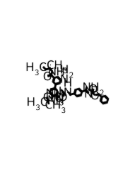 CC[C@H](C)NC(=O)c1cc(N)cc(-c2cnc(NC(C)(C)C)c(=O)n2CC(=O)NCc2ccc(/C(N)=N/C(=O)OCc3ccccc3)cc2)c1